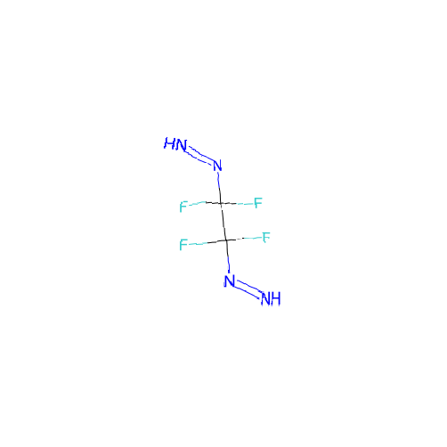 N=NC(F)(F)C(F)(F)N=N